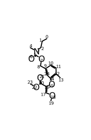 CCCN(C)C(=O)OCc1ccc(C)c(O/C(=C\OC)C(=O)OC)c1